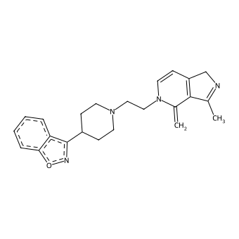 C=C1C2=C(C=CN1CCN1CCC(c3noc4ccccc34)CC1)CN=C2C